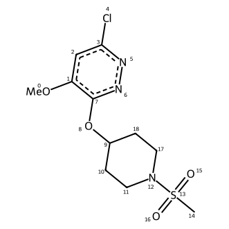 COc1cc(Cl)nnc1OC1CCN(S(C)(=O)=O)CC1